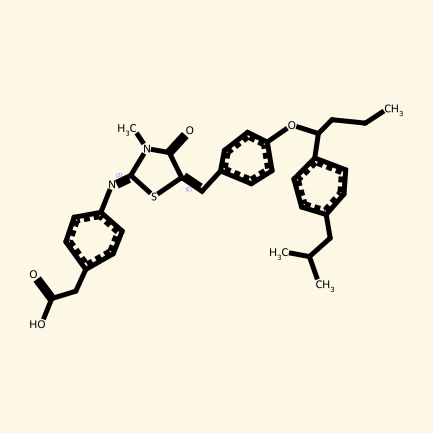 CCCC(Oc1ccc(/C=C2/S/C(=N\c3ccc(CC(=O)O)cc3)N(C)C2=O)cc1)c1ccc(CC(C)C)cc1